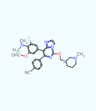 CN1CCC[C@@H](COc2nc(-c3ccc(C#N)cc3)c(-c3cc(F)c(N(C)C)c(OC=O)c3)c3nccn23)C1